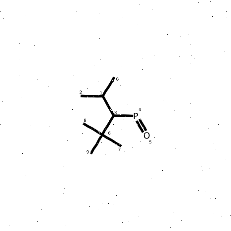 CC(C)C(P=O)C(C)(C)C